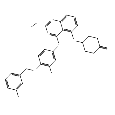 CC(=O)O.O=C1CCC(Oc2cccc3ncnc(Nc4ccc(OCc5cccc(F)c5)c(Cl)c4)c23)CC1